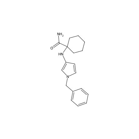 NC(=O)C1(Nc2ccn(Cc3ccccc3)c2)CCCCC1